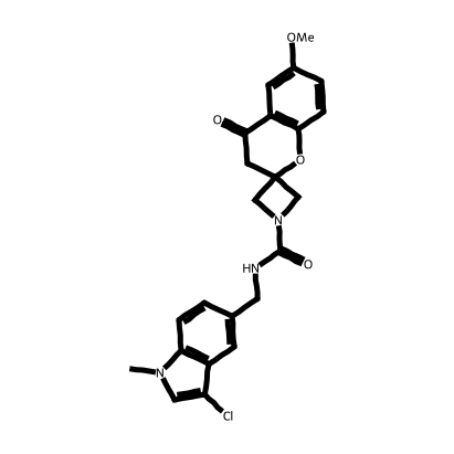 COc1ccc2c(c1)C(=O)CC1(CN(C(=O)NCc3ccc4c(c3)c(Cl)cn4C)C1)O2